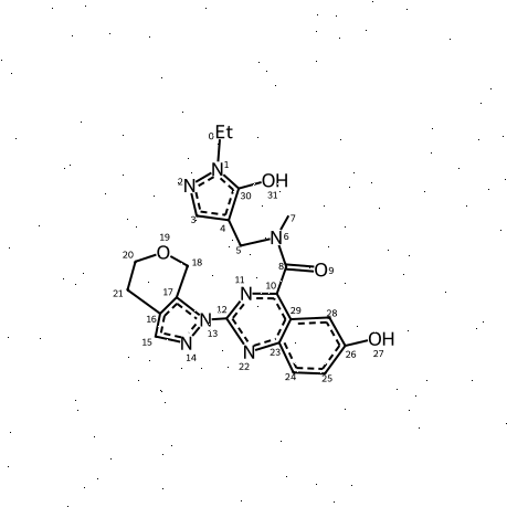 CCn1ncc(CN(C)C(=O)c2nc(-n3ncc4c3COCC4)nc3ccc(O)cc23)c1O